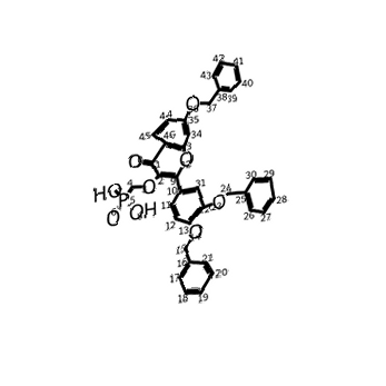 O=c1c(OCP(=O)(O)O)c(-c2ccc(OCc3ccccc3)c(OCc3ccccc3)c2)oc2cc(OCc3ccccc3)ccc12